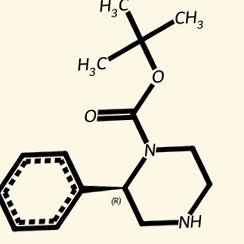 CC(C)(C)OC(=O)N1CCNC[C@H]1c1ccccc1